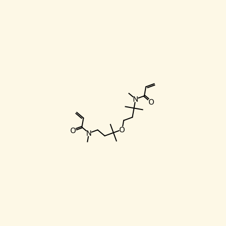 C=CC(=O)N(C)CCC(C)(C)OCCC(C)(C)N(C)C(=O)C=C